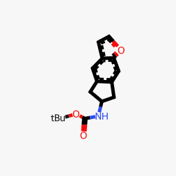 CC(C)(C)OC(=O)NC1Cc2cc3ccoc3cc2C1